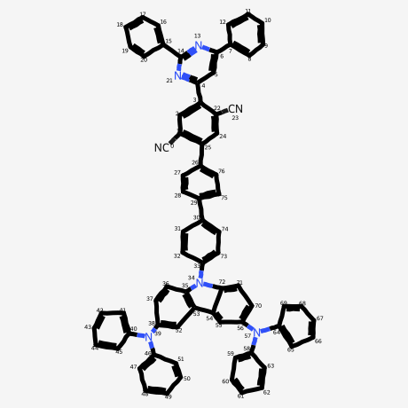 N#Cc1cc(-c2cc(-c3ccccc3)nc(-c3ccccc3)n2)c(C#N)cc1-c1ccc(-c2ccc(-n3c4ccc(N(c5ccccc5)c5ccccc5)cc4c4cc(N(c5ccccc5)c5ccccc5)ccc43)cc2)cc1